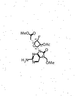 COCn1c(=O)n([C@@H]2O[C@H](CC(=O)OC)[C@@H](F)[C@H]2OC(C)=O)c2nc(N)ncc21